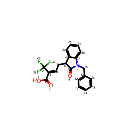 O=C(O)C(=CCC1C(=O)N(Cc2ccccc2)c2ccccc21)C(F)(F)F